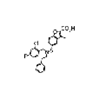 Cc1c(C(=O)O)oc2ccc(SN(CCc3ccccc3)Cc3ccc(F)cc3Cl)cc12